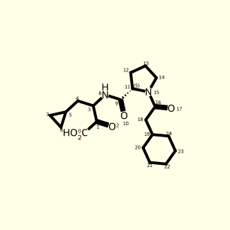 O=C(O)C(=O)C(CC1CC1)NC(=O)[C@@H]1CCCN1C(=O)CC1CCCCC1